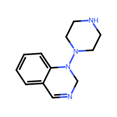 C1=NCN(N2CCNCC2)c2ccccc21